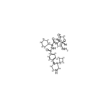 N[C@H]1CN(C(=O)[C@@H](NC(=O)c2ccc(N3CCNCC3C3CCC3)cc2)C2CCCCC2)[C@@H]2C(=O)CO[C@@H]21